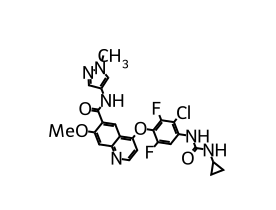 COc1cc2nccc(Oc3c(F)cc(NC(=O)NC4CC4)c(Cl)c3F)c2cc1C(=O)Nc1cnn(C)c1